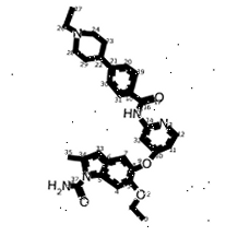 CCOc1cc2c(cc1Oc1ccnc(NC(=O)c3ccc(C4CCN(CC)CC4)cc3)c1)cc(C)n2C(N)=O